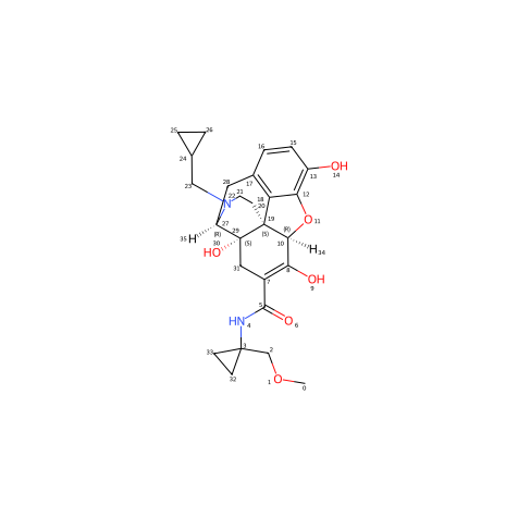 COCC1(NC(=O)C2=C(O)[C@@H]3Oc4c(O)ccc5c4[C@@]34CCN(CC3CC3)[C@H](C5)[C@]4(O)C2)CC1